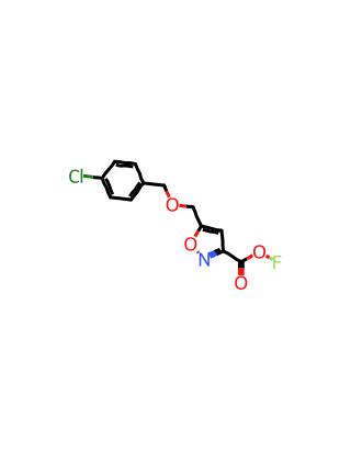 O=C(OF)c1cc(COCc2ccc(Cl)cc2)on1